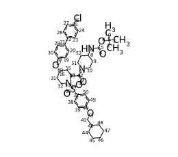 CC(C)(C)OC(=O)NC1CCN(C(=O)[C@@H]2C[C@@H](Oc3ccc(-c4ccc(Cl)cc4)cc3)CCN2S(=O)(=O)c2ccc(OCC3CCCCC3)cc2)CC1